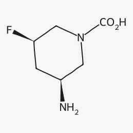 N[C@H]1C[C@@H](F)CN(C(=O)O)C1